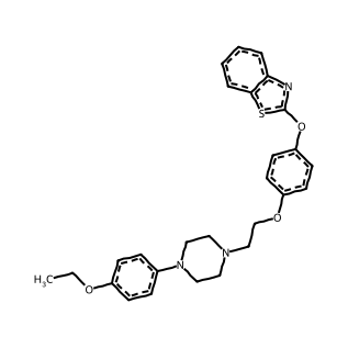 CCOc1ccc(N2CCN(CCOc3ccc(Oc4nc5ccccc5s4)cc3)CC2)cc1